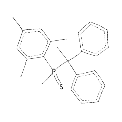 Cc1cc(C)c(P(C)(=S)C(C)(c2ccccc2)c2ccccc2)c(C)c1